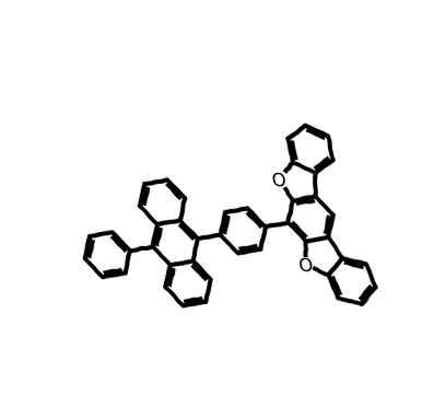 c1ccc(-c2c3ccccc3c(-c3ccc(-c4c5oc6ccccc6c5cc5c4oc4ccccc45)cc3)c3ccccc23)cc1